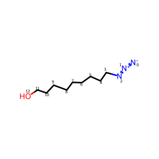 [N-]=[N+]=NCCCCCCCCCO